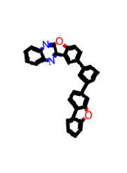 c1cc(-c2ccc3c(c2)oc2ccccc23)cc(-c2ccc3oc4nc5ccccc5nc4c3c2)c1